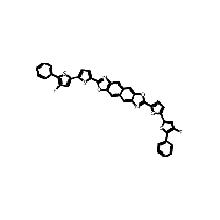 Fc1cc(-c2ccc(-c3nc4cc5cc6oc(-c7ccc(-c8cc(F)c(-c9ccccc9)s8)s7)nc6cc5cc4o3)s2)sc1-c1ccccc1